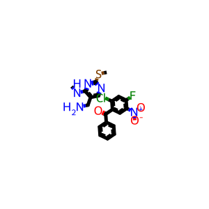 CNc1nc(SC)ncc1CN.O=C(c1ccccc1)c1cc([N+](=O)[O-])c(F)cc1Cl